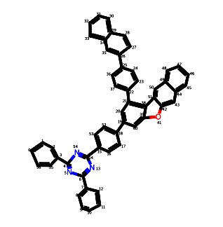 c1ccc(-c2nc(-c3ccccc3)nc(-c3ccc(-c4cc(-c5ccc(-c6ccc7ccccc7c6)cc5)c5c(c4)oc4cc6ccccc6cc45)cc3)n2)cc1